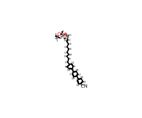 C[Si](C)(C)O[Si](C)(C)O[Si](C)(C)CCCCCCCCCCc1ccc(-c2ccc(-c3ccc(C#N)cc3)cc2)cc1